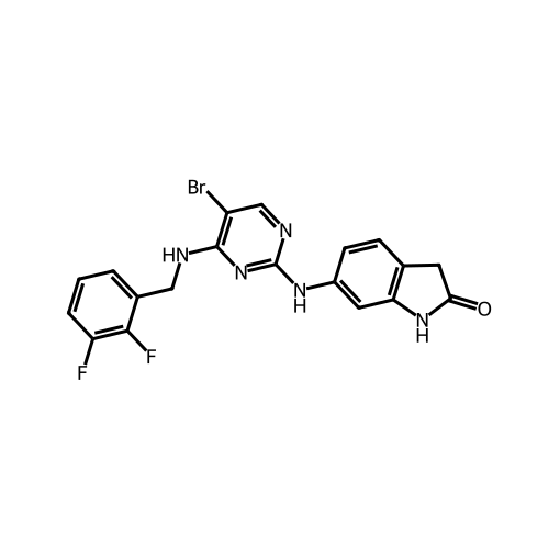 O=C1Cc2ccc(Nc3ncc(Br)c(NCc4cccc(F)c4F)n3)cc2N1